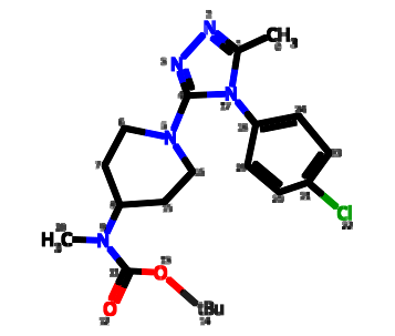 Cc1nnc(N2CCC(N(C)C(=O)OC(C)(C)C)CC2)n1-c1ccc(Cl)cc1